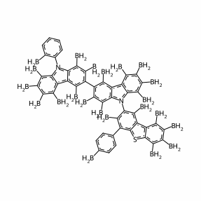 Bc1ccc(-c2c(B)c(-n3c4c(B)c(B)c(B)c(B)c4c4c(B)c(-c5c(B)c(B)c6c(c5B)c5c(B)c(B)c(B)c(B)c5n6-c5ccccc5B)c(B)c(B)c43)c(B)c3c2sc2c(B)c(B)c(B)c(B)c23)cc1